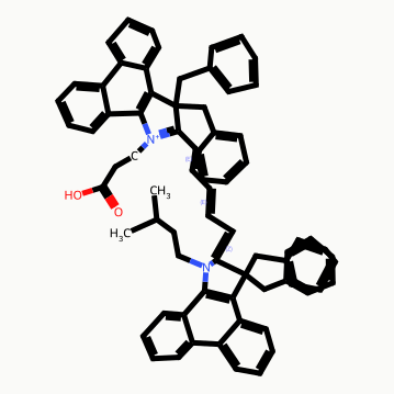 CC(C)CCN1\C(=C/C=C/C=C/C2=[N+](CCC(=O)O)c3c(c4ccccc4c4ccccc34)C2(Cc2ccccc2)Cc2ccccc2)C(Cc2ccccc2)(Cc2ccccc2)c2c1c1ccccc1c1ccccc21